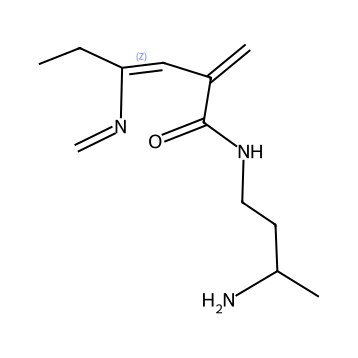 C=N/C(=C\C(=C)C(=O)NCCC(C)N)CC